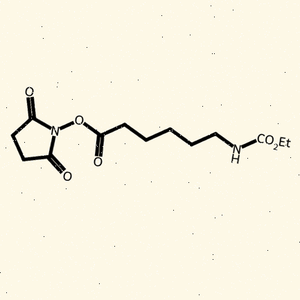 CCOC(=O)NCCCCCC(=O)ON1C(=O)CCC1=O